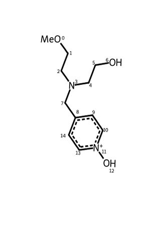 COCCN(CCO)Cc1cc[n+](O)cc1